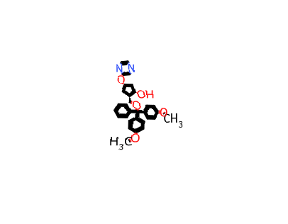 COc1ccc(C(OC[C@H]2C[C@@H](Oc3cnccn3)C[C@@H]2O)(c2ccccc2)c2ccc(OC)cc2)cc1